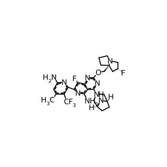 Cc1cc(N)nc(-c2nc(N)c3c(N4C[C@H]5CC[C@@H](C4)N5)nc(OC[C@@]45CCCN4C[C@H](F)C5)nc3c2F)c1C(F)(F)F